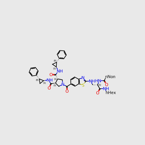 CCCCCCCCCC(=O)N[C@@H](CNc1nc2ccc(C(=O)N3C[C@@H](C(=O)N[C@H]4C[C@@H]4c4ccccc4)[C@H](C(=O)N[C@H]4C[C@@H]4c4ccccc4)C3)cc2s1)C(=O)NCCCCCC